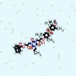 C=CCn1c(=O)n(CC(O)COC(=O)C23CC4CC(CC(C4)C2)C3)c(=O)n(CC(O)COc2c(C)cc(S(=O)(=O)c3cc(C)c(OC)c(C)c3)cc2C)c1=O